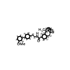 COc1cccc(-c2ccc(CCNC(=O)c3ccc4c(c3)[C@@]3(C)CCC[C@H](C4)[C@@H]3C)cc2)c1